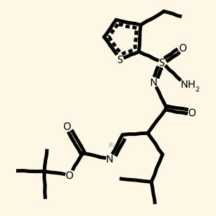 CCc1ccsc1S(N)(=O)=NC(=O)C(/C=N/C(=O)OC(C)(C)C)CC(C)C